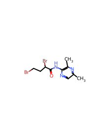 Cc1cnc(NC(=O)C(Br)CCBr)c(C)n1